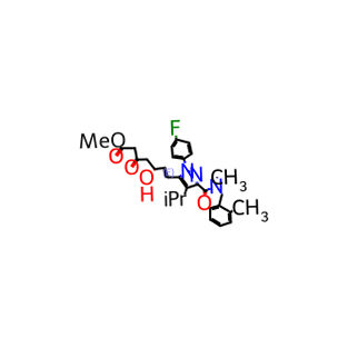 COC(=O)CC(=O)CC(O)/C=C/c1c(C(C)C)c(C(=O)N(C)Cc2ccccc2C)nn1-c1ccc(F)cc1